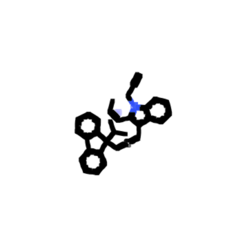 C#CCn1c(/C=C\C)c(C=C=CC2(C(C)C)c3ccccc3-c3ccccc32)c2ccccc21